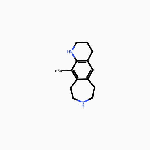 CCCCc1c2c(cc3c1NCCC3)CCNCC2